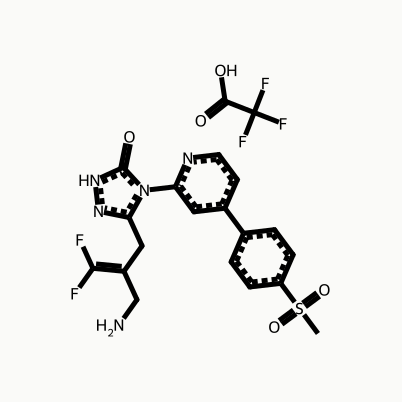 CS(=O)(=O)c1ccc(-c2ccnc(-n3c(CC(CN)=C(F)F)n[nH]c3=O)c2)cc1.O=C(O)C(F)(F)F